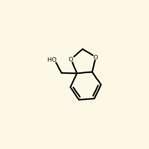 OCC12C=CC=CC1OCO2